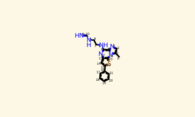 Cc1cnc2c(NCCNC=N)nc3cc(-c4ccccc4)sc3n12